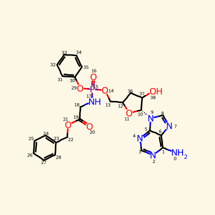 Nc1ncnc2c1ncn2[C@@H]1OC(COP(=O)(NCC(=O)OCc2ccccc2)Oc2ccccc2)CC1O